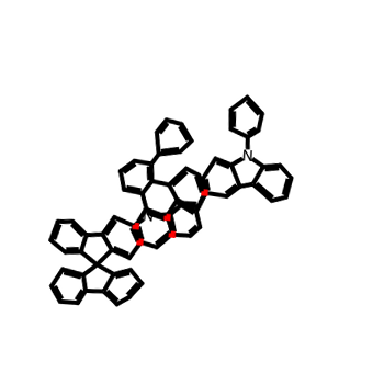 c1ccc(-c2ccccc2-c2c(-c3ccccc3)cccc2N(c2cccc(-c3ccc4c(c3)c3ccccc3n4-c3ccccc3)c2)c2ccc3c(c2)-c2ccccc2C32c3ccccc3-c3ccccc32)cc1